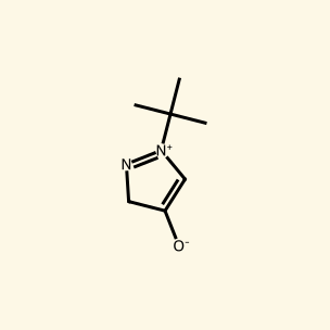 CC(C)(C)[N+]1=NCC([O-])=C1